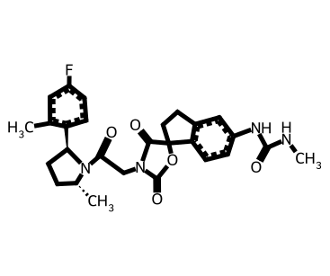 CNC(=O)Nc1ccc2c(c1)CCC21OC(=O)N(CC(=O)N2[C@H](C)CC[C@H]2c2ccc(F)cc2C)C1=O